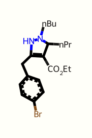 CCCCN1NC(Cc2ccc(Br)cc2)=C(C(=O)OCC)C1CCC